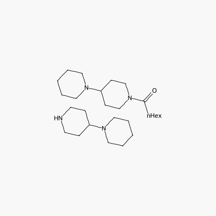 C1CCN(C2CCNCC2)CC1.CCCCCCC(=O)N1CCC(N2CCCCC2)CC1